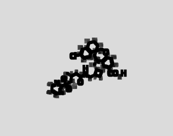 C[C@@H](CC(=O)NC[C@@H]1CC[C@H]1CN1C[C@@]2(CCCc3cc(Cl)ccc32)COc2ccc(C(=O)O)cc21)[C@H](C)S(=O)(=O)c1ncccn1